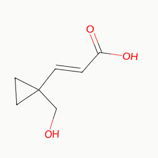 O=C(O)/C=C/C1(CO)CC1